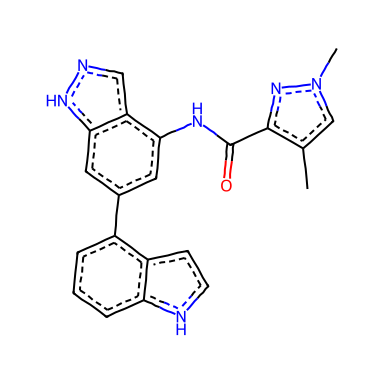 Cc1cn(C)nc1C(=O)Nc1cc(-c2cccc3[nH]ccc23)cc2[nH]ncc12